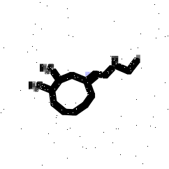 CC1CCCCC/C(=C\CNCI)CC1C